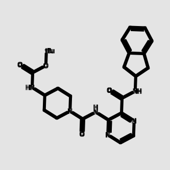 CC(C)(C)OC(=O)NC1CCN(C(=O)Nc2nccnc2C(=O)NC2Cc3ccccc3C2)CC1